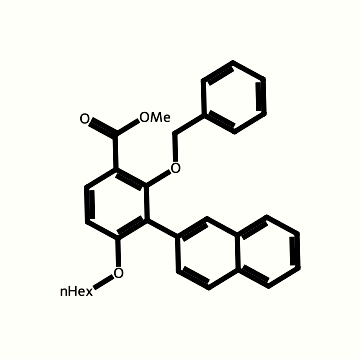 CCCCCCOc1ccc(C(=O)OC)c(OCc2ccccc2)c1-c1ccc2ccccc2c1